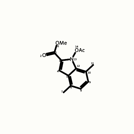 COC(=O)c1cc2c(C)ccc(C)c2n1OC(C)=O